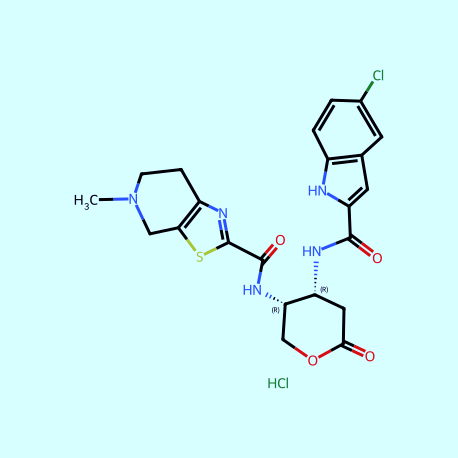 CN1CCc2nc(C(=O)N[C@H]3COC(=O)C[C@H]3NC(=O)c3cc4cc(Cl)ccc4[nH]3)sc2C1.Cl